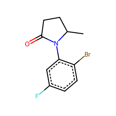 CC1CCC(=O)N1c1cc(F)ccc1Br